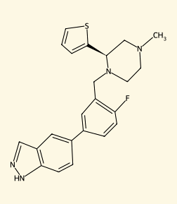 CN1CCN(Cc2cc(-c3ccc4[nH]ncc4c3)ccc2F)[C@@H](c2cccs2)C1